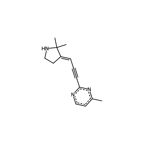 Cc1ccnc(C#C/C=C2\CCNC2(C)C)n1